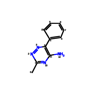 Cc1nnc(-c2ccccc2)c(N)n1